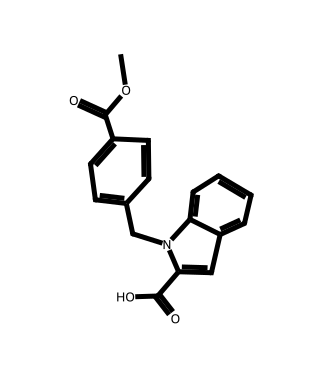 COC(=O)c1ccc(Cn2c(C(=O)O)cc3ccccc32)cc1